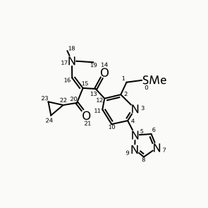 CSCc1nc(-n2cncn2)ccc1C(=O)/C(=C\N(C)C)C(=O)C1CC1